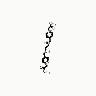 CC(=O)C[n+]1ccc(CNCCNCc2cc[n+](CC(C)=O)cc2)cc1